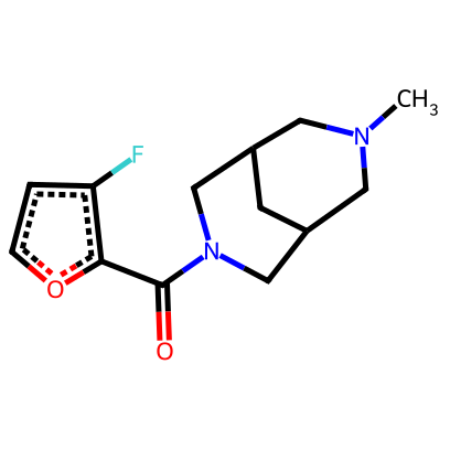 CN1CC2CC(C1)CN(C(=O)c1occc1F)C2